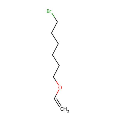 C=COCCCCCCBr